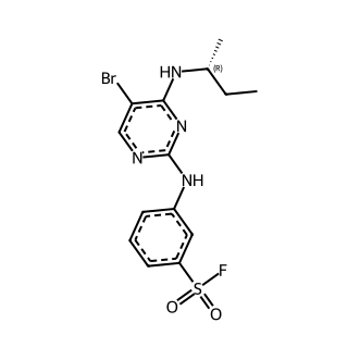 CC[C@@H](C)Nc1nc(Nc2cccc(S(=O)(=O)F)c2)ncc1Br